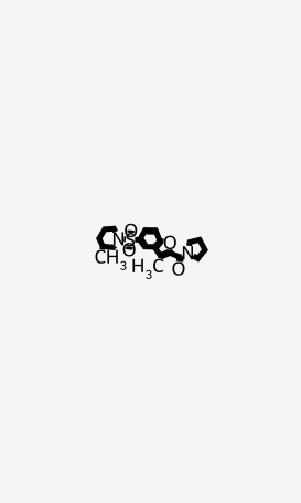 Cc1c(C(=O)N2CCCC2)oc2ccc(S(=O)(=O)N3CCCC(C)C3)cc12